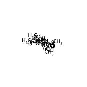 COc1ccc(Cl)cc1CN(CCOC(C)=O)c1ncnc2c1ncn2[C@@H]1O[C@H](COC(C)=O)[C@@H](OC(C)=O)[C@H]1OC(C)=O